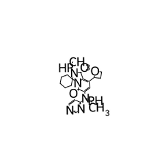 CPN(c1ccncn1)c1cc(C2CCO2)c2n(c1=O)C1(CCCCC1)N(PC)C2=O